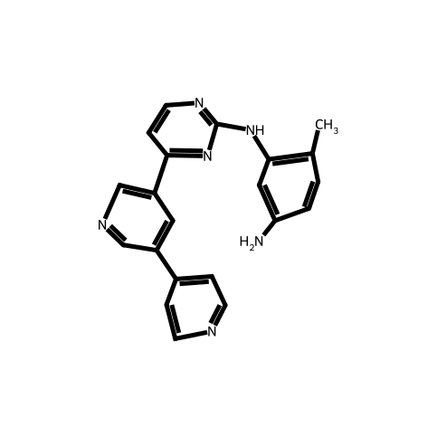 Cc1ccc(N)cc1Nc1nccc(-c2cncc(-c3ccncc3)c2)n1